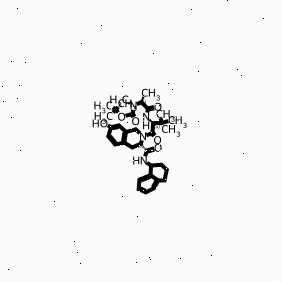 C[C@@H](C(=O)N[C@H](C(=O)N1Cc2cc(O)ccc2C[C@H]1C(=O)NC1CCCc2ccccc21)C(C)(C)C)N(C)C(=O)OC(C)(C)C